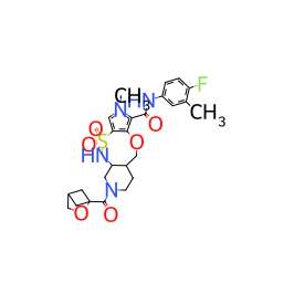 Cc1cc(NC(=O)c2c3c(cn2C)S(=O)(=O)NC2CN(C(=O)C45CC(CO4)C5)CCC2CO3)ccc1F